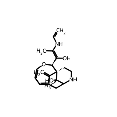 C=CN/C(C)=C(\O)[C@@H]1O/C=C\C=C2\CC3NCC[C@@]1(C2=C)C3(C)O